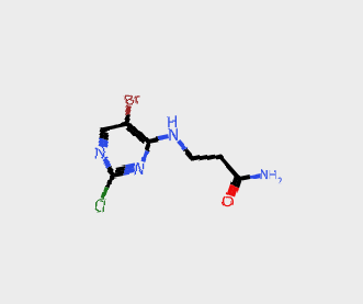 NC(=O)CCNc1nc(Cl)ncc1Br